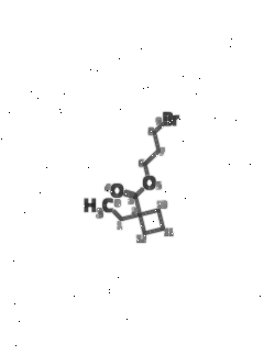 CCC1(C(=O)OCCCBr)CCC1